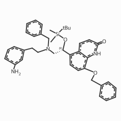 CC(C)(C)[Si](C)(C)O[C@@H](CN(CCc1cccc(N)c1)Cc1ccccc1)c1ccc(OCc2ccccc2)c2[nH]c(=O)ccc12